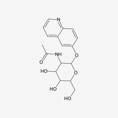 CC(=O)NC1C(Oc2ccc3ncccc3c2)OC(CO)C(O)C1O